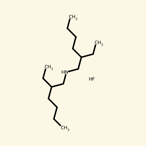 CCCCC(CC)CNCC(CC)CCCC.F